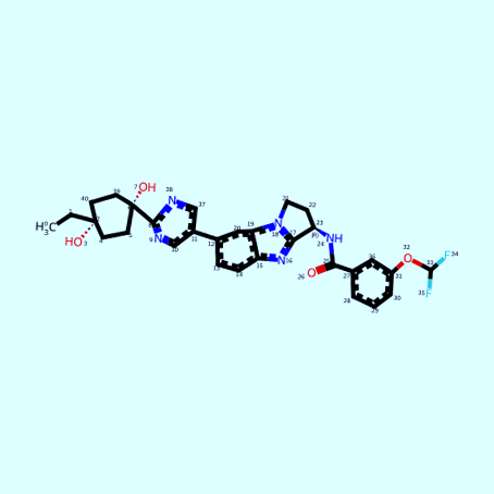 CC[C@]1(O)CC[C@](O)(c2ncc(-c3ccc4nc5n(c4c3)CC[C@H]5NC(=O)c3cccc(OC(F)F)c3)cn2)CC1